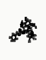 Cn1ncc2c(N3C[C@@H](O[Si](C)(C)C(C)(C)C)C[C@H]3CNC(=O)OCc3ccccc3)c(N)cc(F)c21